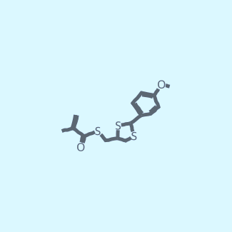 C=C(C)C(=O)SCC1CSC(c2ccc(OC)cc2)S1